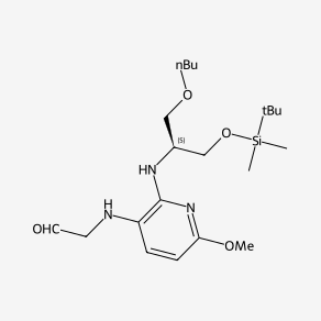 CCCCOC[C@@H](CO[Si](C)(C)C(C)(C)C)Nc1nc(OC)ccc1NCC=O